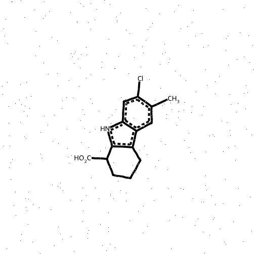 Cc1cc2c3c([nH]c2cc1Cl)C(C(=O)O)CCC3